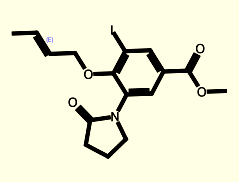 C/C=C/COc1c(I)cc(C(=O)OC)cc1N1CCCC1=O